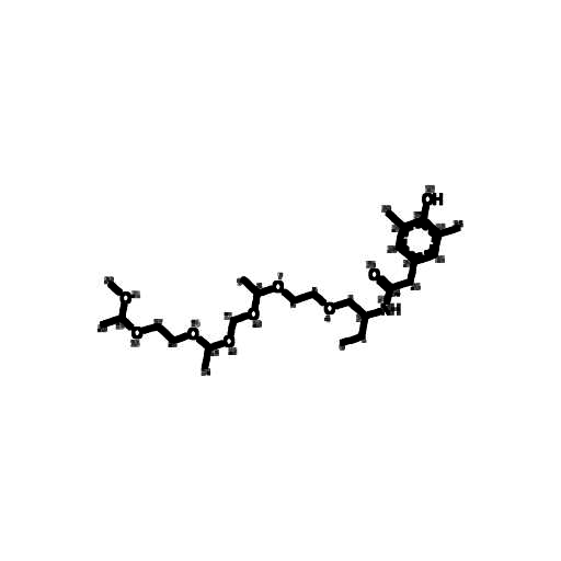 CCC(COCCOC(C)OCOC(C)OCCOC(C)OC)NC(=O)Cc1cc(C)c(O)c(C)c1